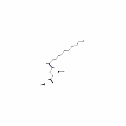 C=C(CC/C(OC(C)=O)=C(\C)CCCCCCCCCC=O)OC(C)=O